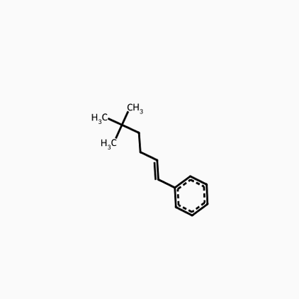 CC(C)(C)CCC=Cc1ccccc1